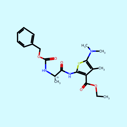 CCOC(=O)c1c(NC(=O)[C@H](C)NC(=O)OCc2ccccc2)sc(N(C)C)c1C